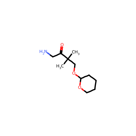 CC(C)(COC1CCCCO1)C(=O)CN